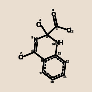 O=C(Cl)C1(Cl)N=C(Cl)c2ccccc2N1